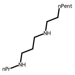 CCCCCCCNCCCNCCC